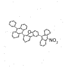 O=[N+]([O-])c1c2ccccc2c(-c2ccc3oc4c(-c5c6ccccc6c(-c6ccccc6)c6ccccc56)cccc4c3c2)c2ccccc12